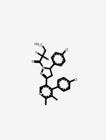 Cc1ncc(C2=NN(C(=O)C(F)(F)CC(=O)O)C(c3ccc(Cl)cc3)C2)c(-c2ccc(Cl)cc2)c1C